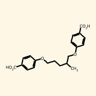 CC(CCCOc1ccc(C(=O)O)cc1)COc1ccc(C(=O)O)cc1